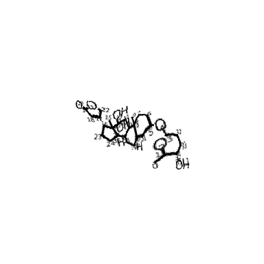 CC1O[C@@H](O[C@H]2CCC3(C)C4CC(O)C5(C)[C@@H](C6=CC(=O)OC6)CC[C@]5(O)[C@@H]4CC[C@@H]3C2)CC[C@H]1O